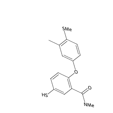 CNC(=O)c1cc(S)ccc1Oc1ccc(SC)c(C)c1